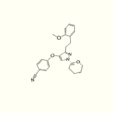 COc1ccccc1CCc1nn([C@H]2CCCCO2)cc1Oc1ccc(C#N)cc1